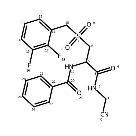 N#CCNC(=O)C(CS(=O)(=O)Cc1cccc(F)c1F)NC(=O)c1ccccc1